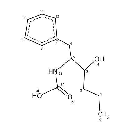 CCCC(O)C(Cc1ccccc1)NC(=O)O